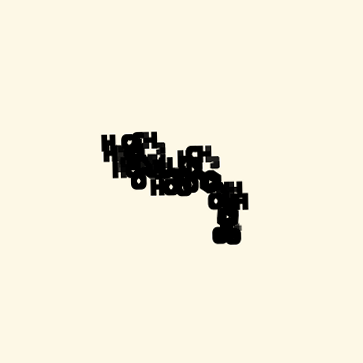 CC(C)CC(C(=O)NC(CCSCC(NC(=O)CC(C)(C)C)C(=O)O)C(=O)O)c1ccc(NC(=O)Nc2ccc([N+](=O)[O-])cc2)cc1